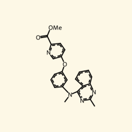 COC(=O)c1ccc(Oc2cccc(N(C)c3nc(C)nc4ccccc34)c2)cn1